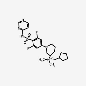 CN(C)[C@]1(CC2CCCC2)CCCN(c2cc(F)c(S(=O)(=O)Nc3ccncn3)c(F)c2)C1